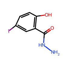 NNC(=O)c1cc(I)ccc1O